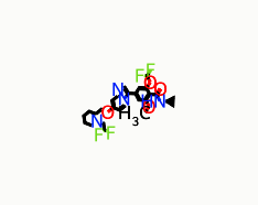 COc1cc(-c2cnc3cc(OCC4CCCCN4CC(F)F)ccn23)cc(OC(F)F)c1C(=O)NC1CC1